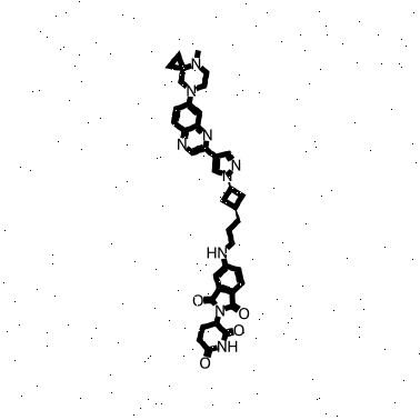 CN1CCN(c2ccc3ncc(-c4cnn([C@H]5C[C@H](CCCNc6ccc7c(c6)C(=O)N(C6CCC(=O)NC6=O)C7=O)C5)c4)nc3c2)CC12CC2